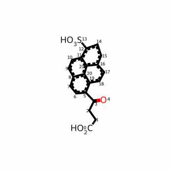 O=C(O)CCC(=O)c1ccc2ccc3c(S(=O)(=O)O)ccc4ccc1c2c43